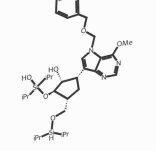 COc1ncnc2c([C@@H]3C[C@H](CO[SiH](C(C)C)C(C)C)[C@@H](O[Si](O)(C(C)C)C(C)C)[C@@H]3O)cn(COCc3ccccc3)c12